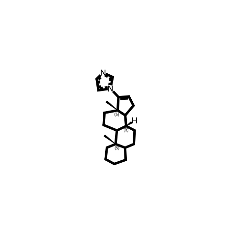 C[C@]12CCCCC1CC[C@@H]1C2CC[C@]2(C)C(n3ccnc3)=CCC12